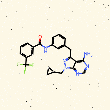 Nc1ncnc2c1c(Cc1cccc(NC(=O)c3cccc(C(F)(F)F)c3)c1)nn2CC1CC1